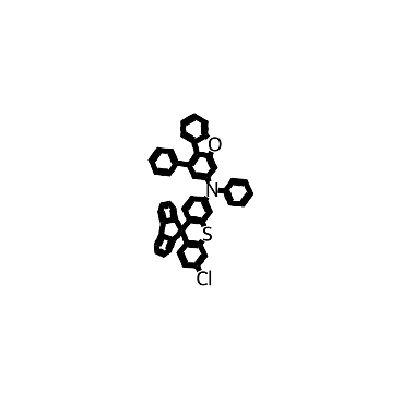 Clc1ccc2c(c1)Sc1cc(N(c3ccccc3)c3cc(-c4ccccc4)c4c(c3)oc3ccccc34)ccc1C21c2ccccc2-c2ccccc21